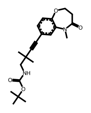 CN1C(=O)CCOc2ccc(C#CC(C)(C)CNC(=O)OC(C)(C)C)cc21